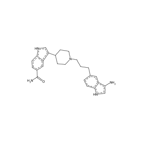 NC(=O)c1ccc2[nH]cc(C3CCN(CCCc4ccc5[nH]cc(N)c5c4)CC3)c2c1